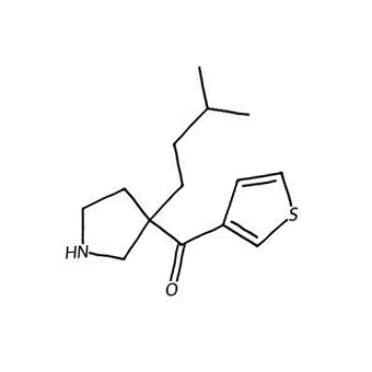 CC(C)CCC1(C(=O)c2ccsc2)CCNC1